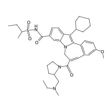 CCC(C)S(=O)(=O)NC(=O)c1ccc2c(C3CCCCC3)c3n(c2c1)CC(C(=O)N1CCCC1CN(C)CC)=Cc1cc(OC)ccc1-3